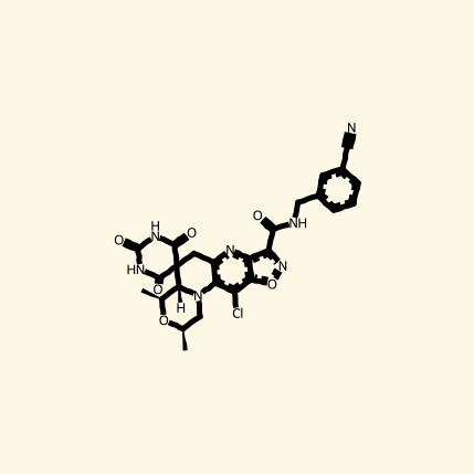 C[C@@H]1CN2c3c(nc4c(C(=O)NCc5cccc(C#N)c5)noc4c3Cl)CC3(C(=O)NC(=O)NC3=O)[C@H]2[C@H](C)O1